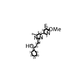 COc1ncc(-c2cc(C)nc(SCCC(O)c3ccccc3)n2)cc1F